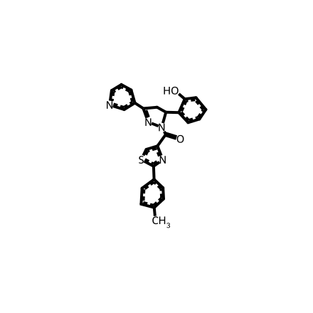 Cc1ccc(-c2nc(C(=O)N3N=C(c4cccnc4)CC3c3ccccc3O)cs2)cc1